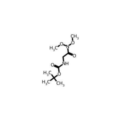 CON(OC)C(=O)CNC(=O)OC(C)(C)C